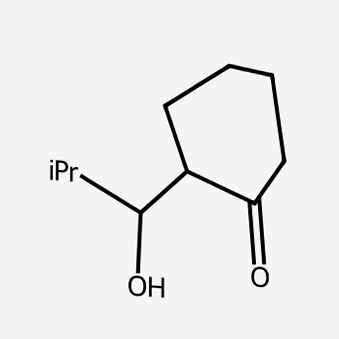 CC(C)C(O)C1CCCCC1=O